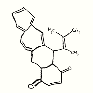 CC(C)=C(C)C1c2cc3ccccc3cc2CC2C(=O)C=CC(=O)C21